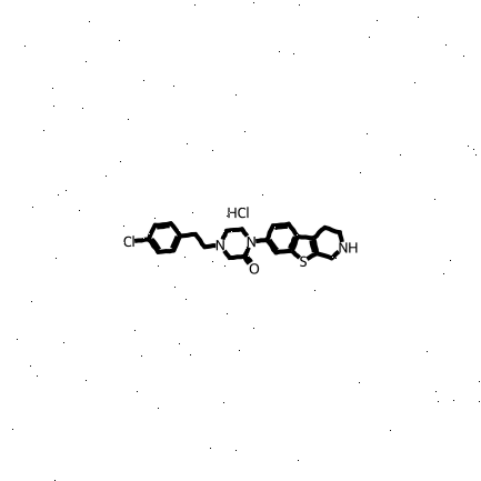 Cl.O=C1CN(CCc2ccc(Cl)cc2)CCN1c1ccc2c3c(sc2c1)CNCC3